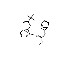 CC1C2C=CC(C2)C1CC(=O)C(C)(C)C.COC(=O)OC1CC2C=CC1C2